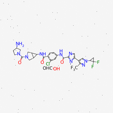 Cn1c(-c2cn(C3CC3(F)F)nc2C(F)(F)F)cnc1C(=O)Nc1ccc(C(=O)NC2C3CN(C(=O)N4CC[C@@H](N)C4)CC32)c(Cl)c1.O=CO